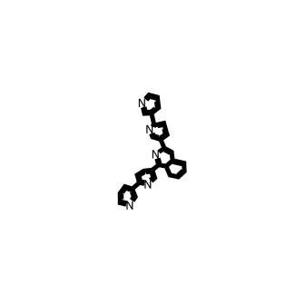 C1=CCC2C(=C1)C=C(c1ccc(-c3cccnc3)nc1)N=C2c1ccc(-c2cccnc2)nc1